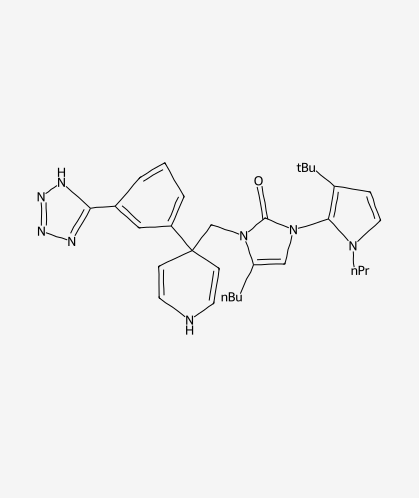 CCCCc1cn(-c2c(C(C)(C)C)ccn2CCC)c(=O)n1CC1(c2cccc(-c3nnn[nH]3)c2)C=CNC=C1